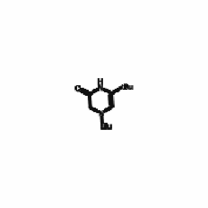 CC(C)(C)C1=CN(C(C)(C)C)CC(=O)N1